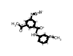 CNc1cccc(NC(=O)c2cc(N=[N+]=[N-])cc(C(C)=O)c2)c1